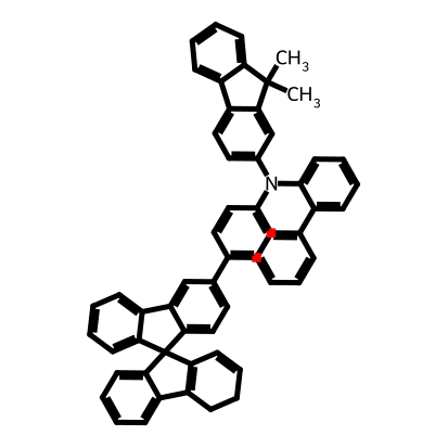 CC1(C)c2ccccc2-c2ccc(N(c3ccc(-c4ccc5c(c4)-c4ccccc4C54C5=C(CCC=C5)c5ccccc54)cc3)c3ccccc3-c3ccccc3)cc21